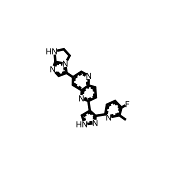 Cc1nc(-c2n[nH]cc2-c2ccc3ncc(-c4cnc5n4CCN5)cc3n2)ccc1F